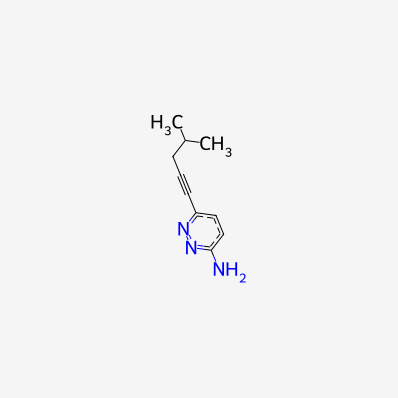 CC(C)CC#Cc1ccc(N)nn1